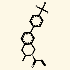 C=CC(=O)N1Cc2cc(-c3ccc(C(F)(F)F)cc3)ccc2CC1C